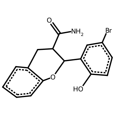 NC(=O)C1Cc2ccccc2OC1c1cc(Br)ccc1O